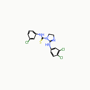 S=C(Nc1cccc(Cl)c1)N1CCN=C1Nc1ccc(Cl)c(Cl)c1